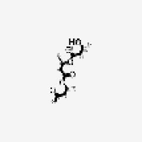 CC(=O)C[C@@H](C)OC(=O)C[C@@H](C)OC(=O)C[C@@H](C)O